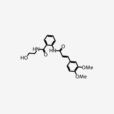 COc1ccc(/C=C/C(=O)Nc2ccccc2C(=O)NCCO)cc1OC